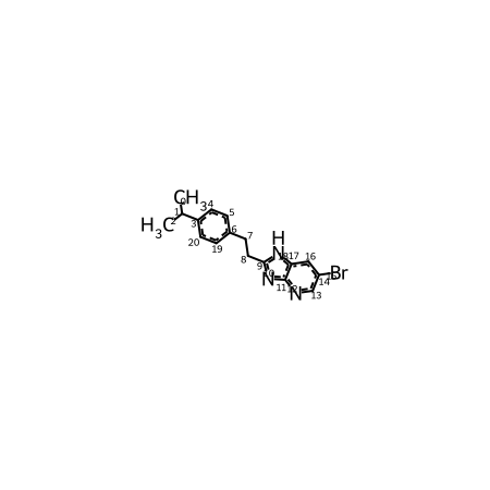 CC(C)c1ccc(CCc2nc3ncc(Br)cc3[nH]2)cc1